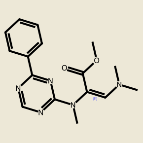 COC(=O)/C(=C\N(C)C)N(C)c1ncnc(-c2ccccc2)n1